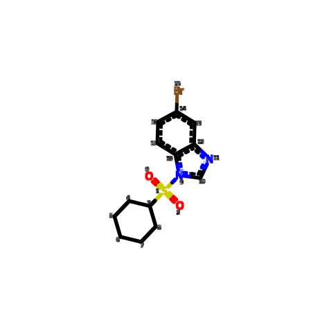 O=S(=O)(C1CCCCC1)n1cnc2cc(Br)ccc21